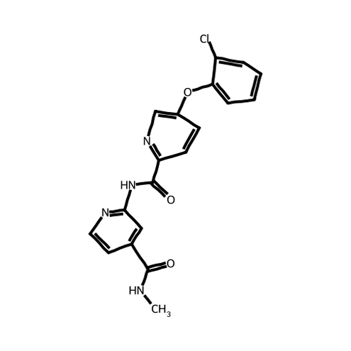 CNC(=O)c1ccnc(NC(=O)c2ccc(Oc3ccccc3Cl)cn2)c1